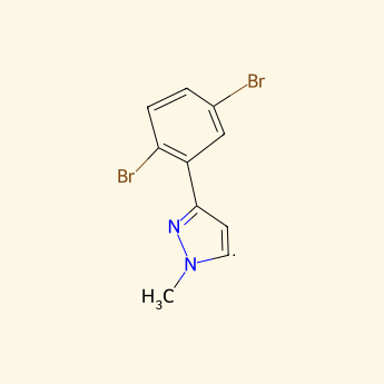 Cn1[c]cc(-c2cc(Br)ccc2Br)n1